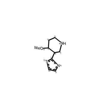 COC1CCNCC1c1nccs1